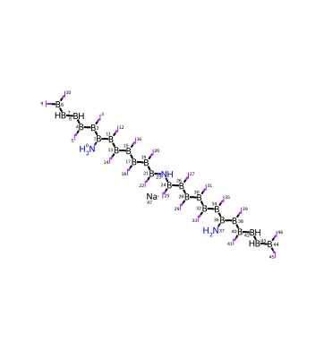 NB(B(I)B(I)BBB(I)I)B(I)B(I)B(I)B(I)B(I)B(I)NB(I)B(I)B(I)B(I)B(I)B(I)B(N)B(I)B(I)BBB(I)I.[Na]